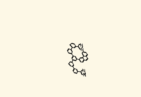 c1cc(-c2cncnc2)cc(-c2cccc(-c3cc(-c4cccc(-c5cccc(-c6cncnc6)c5)c4)cc(-c4ccc5ccc6ccccc6c5c4)c3)c2)c1